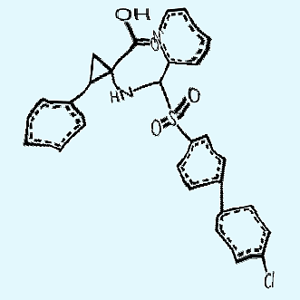 O=C(O)C1(NC(c2ccccn2)S(=O)(=O)c2ccc(-c3ccc(Cl)cc3)cc2)CC1c1ccccc1